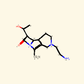 CC(O)C1C(=O)N2C(C(=O)O)=C3CN(CCN)CCC3C12